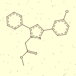 COC(=O)Cn1nc(-c2cccc(Cl)c2)cc1-c1ccccc1